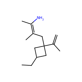 C=C(C)C1(C/C(C)=C(/C)N)CC(CC)C1